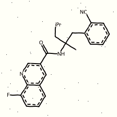 CC(C)CC(C)(Cc1ccccc1C#N)NC(=O)c1cnc2c(F)cccc2c1